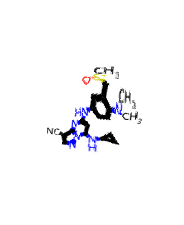 CN(C)c1ccc(Nc2cc(NC3CC3)n3ncc(C#N)c3n2)cc1C[S+](C)[O-]